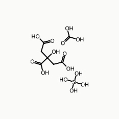 O=C(O)CC(O)(CC(=O)O)C(=O)O.O=C(O)O.O[Si](O)(O)O